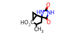 CC(CC1(C2CC2)NC(=O)NC1=O)C(=O)O